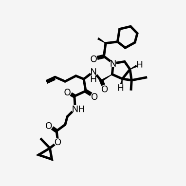 C=CCCC(NC(=O)[C@@H]1[C@@H]2[C@H](CN1C(=O)[C@@H](C)C1CCCCC1)C2(C)C)C(=O)C(=O)NCCC(=O)OC1(C)CC1